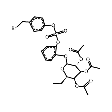 CC[C@H]1OC(Oc2ccccc2OS(=O)(=O)Oc2ccc(CBr)cc2)[C@H](OC(C)=O)[C@@H](OC(C)=O)[C@H]1OC(C)=O